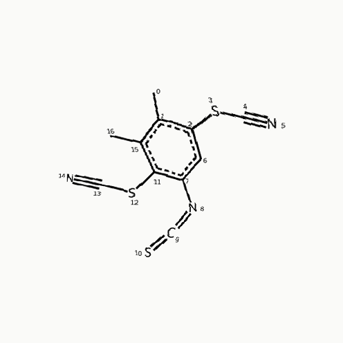 Cc1c(SC#N)cc(N=C=S)c(SC#N)c1C